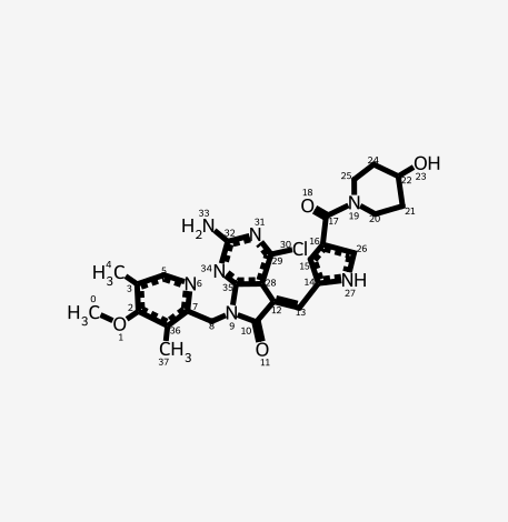 COc1c(C)cnc(CN2C(=O)/C(=C/c3cc(C(=O)N4CCC(O)CC4)c[nH]3)c3c(Cl)nc(N)nc32)c1C